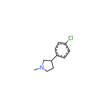 CN1CCC(c2ccc(Cl)cc2)C1